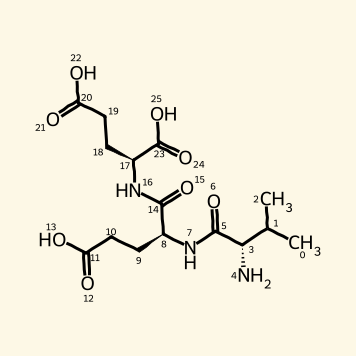 CC(C)[C@H](N)C(=O)N[C@@H](CCC(=O)O)C(=O)N[C@@H](CCC(=O)O)C(=O)O